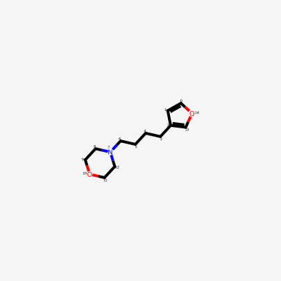 c1cc(CCCCN2CCOCC2)co1